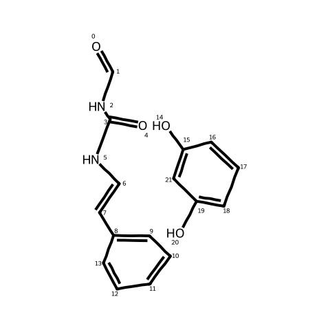 O=CNC(=O)NC=Cc1ccccc1.Oc1cccc(O)c1